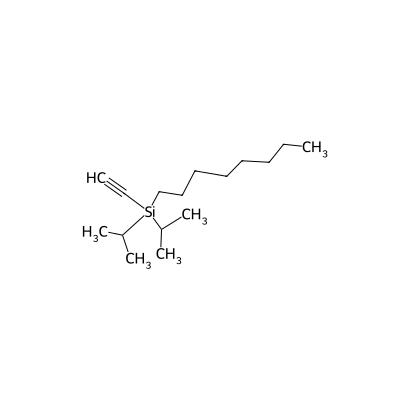 C#C[Si](CCCCCCCC)(C(C)C)C(C)C